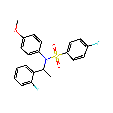 COc1ccc(N(C(C)c2ccccc2F)S(=O)(=O)c2ccc(F)cc2)cc1